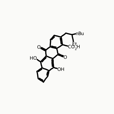 CCCCC(CC)Cc1ccc2c(c1C(=O)O)C(=O)c1c(c(O)c3ccccc3c1O)C2=O